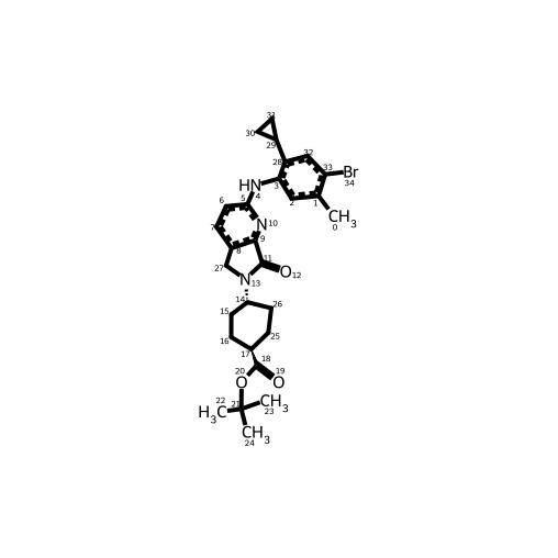 Cc1cc(Nc2ccc3c(n2)C(=O)N([C@H]2CC[C@H](C(=O)OC(C)(C)C)CC2)C3)c(C2CC2)cc1Br